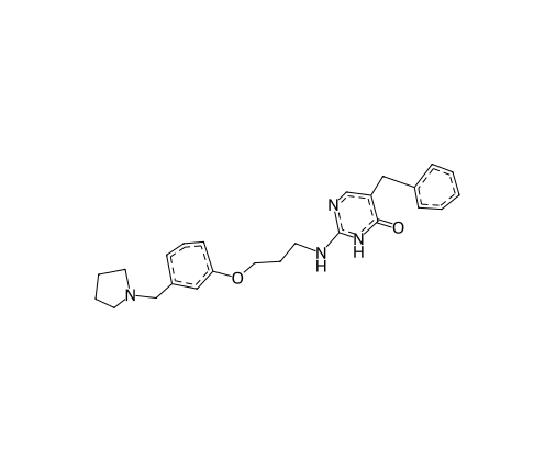 O=c1[nH]c(NCCCOc2cccc(CN3CCCC3)c2)ncc1Cc1ccccc1